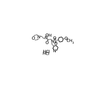 COc1ccc(S(=O)(=O)N(CC(=O)N(O)CCN2CCOCC2)Cc2cccnc2)cc1.Cl.Cl